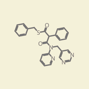 O=C(SCc1ccccc1)C(C(=O)N(Cc1cncnc1)c1ccccn1)c1ccccc1